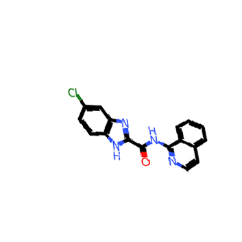 O=C(Nc1nccc2ccccc12)c1nc2cc(Cl)ccc2[nH]1